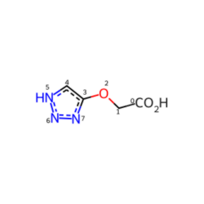 O=C(O)COc1c[nH]nn1